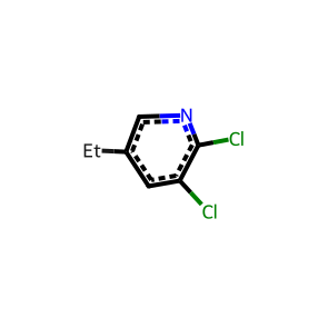 CCc1cnc(Cl)c(Cl)c1